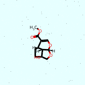 COC(=O)C1=CO[C@@H]2OC[C@]3(O)CC[C@H]1[C@H]23